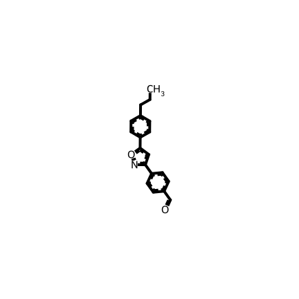 CCCc1ccc(-c2cc(-c3ccc(C=O)cc3)no2)cc1